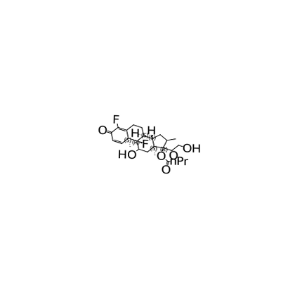 CCCC(=O)O[C@]1(C(=O)CO)C(C)C[C@H]2[C@@H]3CCC4=C(F)C(=O)C=C[C@]4(C)[C@@]3(F)C(O)C[C@@]21C